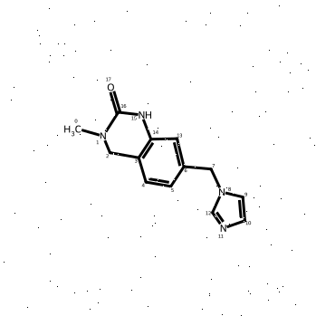 CN1Cc2ccc(Cn3ccnc3)cc2NC1=O